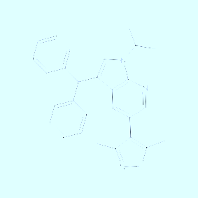 Cc1noc(C)c1-c1cnc2c(c1)c(C(c1ccccc1)c1ccccc1)cn2C(C)F